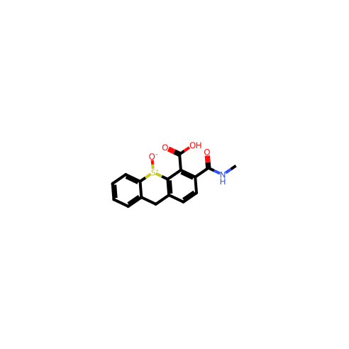 CNC(=O)c1ccc2c(c1C(=O)O)[S+]([O-])c1ccccc1C2